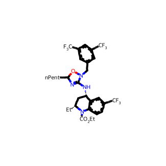 CCCCCC1N=C(N[C@H]2C[C@@H](CC)N(C(=O)OCC)c3ccc(C(F)(F)F)cc32)N(Cc2cc(C(F)(F)F)cc(C(F)(F)F)c2)O1